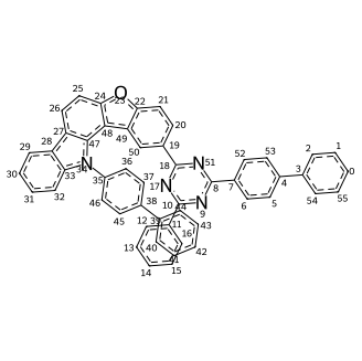 c1ccc(-c2ccc(-c3nc(-c4ccccc4)nc(-c4ccc5oc6ccc7c8ccccc8n(-c8ccc(-c9ccccc9)cc8)c7c6c5c4)n3)cc2)cc1